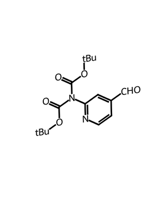 CC(C)(C)OC(=O)N(C(=O)OC(C)(C)C)c1cc(C=O)ccn1